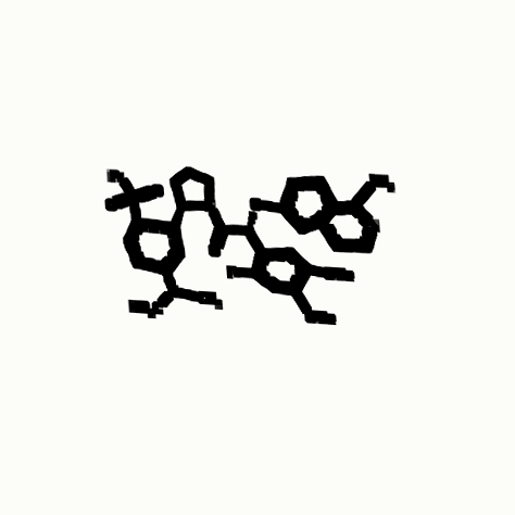 COc1cc(F)c([C@@H](Oc2ccc3c(N)nccc3c2)C(=O)N2CCC[C@@H]2c2cc(N(C)C(=O)O)ccc2S(=O)(=O)C(C)C)cc1OC